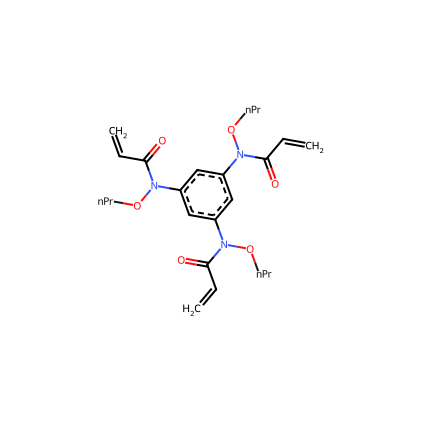 C=CC(=O)N(OCCC)c1cc(N(OCCC)C(=O)C=C)cc(N(OCCC)C(=O)C=C)c1